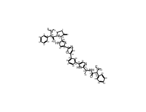 C=C1CCN(C(=O)[C@@H](c2ccccc2)N(C)C)[C@@H]1c1nc(-c2ncc(-c3cccc(-c4cnc([C@H](C)NC(=O)C(c5ccccc5)N(C)C)[nH]4)c3)o2)c[nH]1